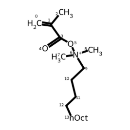 C=C(C)C(=O)O[N+](C)(C)CCCCCCCCCCCC